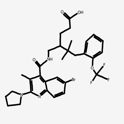 Cc1c(N2CCCC2)nc2ccc(Br)cc2c1C(=O)NCC(CCC(=O)O)C(C)(C)Cc1ccccc1OC(F)(F)F